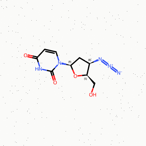 [N-]=[N+]=N[C@@H]1C[C@H](n2ccc(=O)[nH]c2=O)O[C@@H]1CO